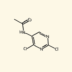 CC(=O)Nc1cnc(Cl)nc1Cl